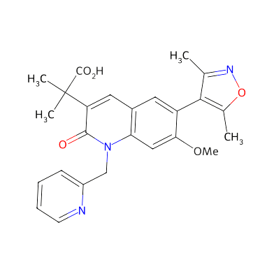 COc1cc2c(cc1-c1c(C)noc1C)cc(C(C)(C)C(=O)O)c(=O)n2Cc1ccccn1